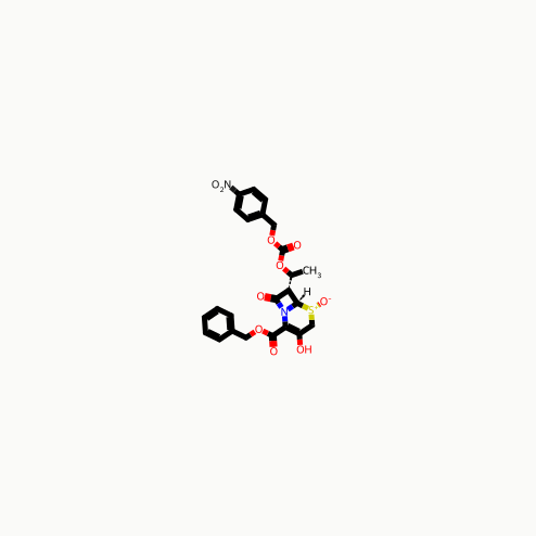 CC(OC(=O)OCc1ccc([N+](=O)[O-])cc1)[C@H]1C(=O)N2C(C(=O)OCc3ccccc3)=C(O)C[S+]([O-])[C@H]12